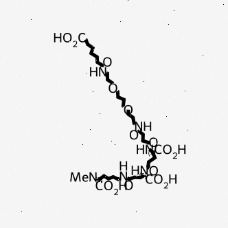 CN[C@@H](CCCCNC(=O)CC[C@H](NC(=O)CC[C@H](NC(=O)CCC(=O)NCCCOCCCCOCCCNC(=O)CCCCCCC(=O)O)C(=O)O)C(=O)O)C(=O)O